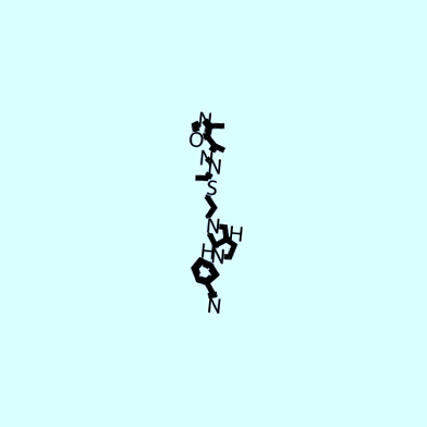 C/C(=N\N=C(/C)c1ocnc1C)SCCCN1C[C@H]2CCN(c3cccc(C#N)c3)[C@H]2C1